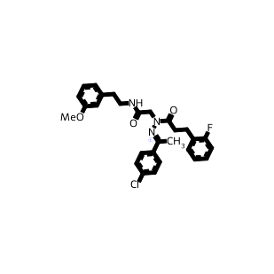 COc1cccc(CCNC(=O)CN(/N=C(\C)c2ccc(Cl)cc2)C(=O)CCc2ccccc2F)c1